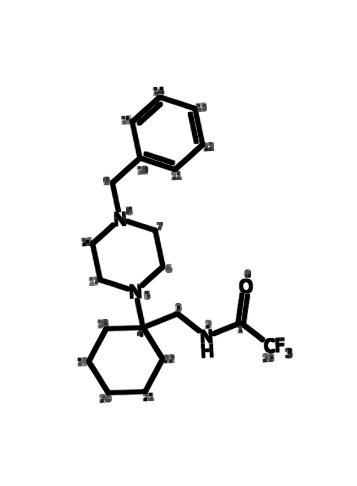 O=C(NCC1(N2CCN(Cc3ccccc3)CC2)CCCCC1)C(F)(F)F